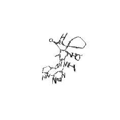 Cc1cc(Nc2cc(N[C@H]3CCC[C@@H]3O)ncn2)[n+]([O-])c2c1C(=O)NC21CCCCC1